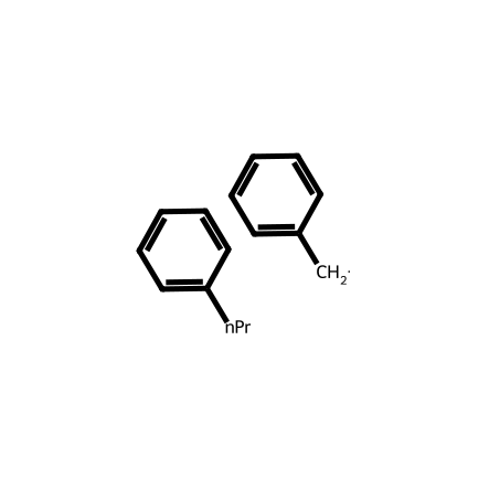 CCCc1ccccc1.[CH2]c1ccccc1